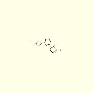 CCOc1c(OC)ccc(-c2cccc([C@@H]3COB(O)C3)c2)c1C#N